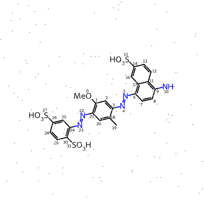 COc1cc(/N=N/c2ccc([NH])c3ccc(S(=O)(=O)O)cc23)c(C)cc1/N=N/c1cc(S(=O)(=O)O)ccc1S(=O)(=O)O